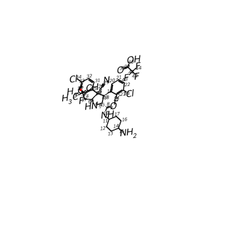 CC(C)(C)C[C@@H]1N[C@@H](C(=O)NC2CCC(N)CC2)[C@H](c2cccc(Cl)c2F)[C@@]1(C#N)c1ccc(Cl)cc1F.O=C(O)C(F)(F)F